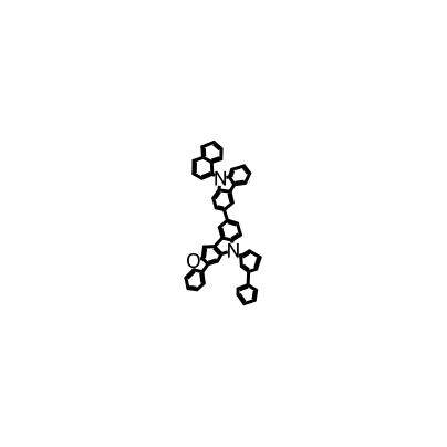 c1ccc(-c2cccc(-n3c4ccc(-c5ccc6c(c5)c5ccccc5n6-c5cccc6ccccc56)cc4c4cc5oc6ccccc6c5cc43)c2)cc1